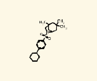 CC1(C)CC2CC(C)(CN2S(=O)(=O)c2ccc(C3CCCCC3)cc2)C1